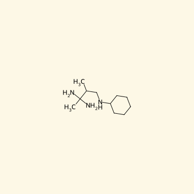 CC(CNC1CCCCC1)C(C)(N)N